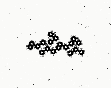 c1ccc(-c2cc(-c3cccc(-c4ccc5c(-c6cccc(-c7cccc(N(c8cc(-c9ccccc9)cc(-c9ccccc9)c8)c8cccc9sc%10ccccc%10c89)c7)c6)cccc5c4)c3)cc(N(c3ccc(-c4cccc5sc6ccccc6c45)cc3)c3cccc(-c4cccc(-c5cccc6ccccc56)c4)c3)c2)cc1